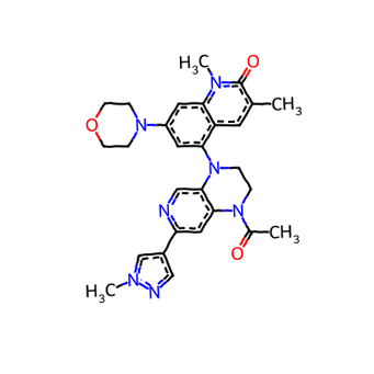 CC(=O)N1CCN(c2cc(N3CCOCC3)cc3c2cc(C)c(=O)n3C)c2cnc(-c3cnn(C)c3)cc21